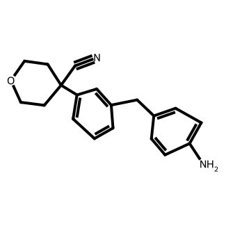 N#CC1(c2cccc(Cc3ccc(N)cc3)c2)CCOCC1